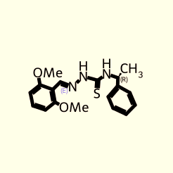 COc1cccc(OC)c1/C=N/NC(=S)N[C@H](C)c1ccccc1